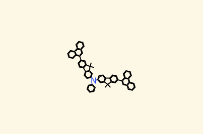 CC1(C)c2cc(-c3cc4ccccc4c4ccccc34)ccc2-c2ccc(N(c3ccccc3)c3ccc4c(c3)C(C)(C)c3cc(-c5cc6ccccc6c6ccccc56)ccc3-4)cc21